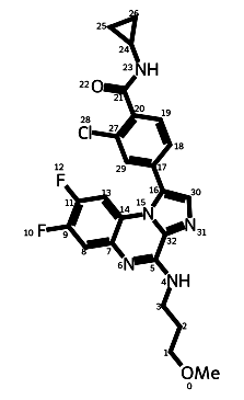 COCCCNc1nc2cc(F)c(F)cc2n2c(-c3ccc(C(=O)NC4CC4)c(Cl)c3)cnc12